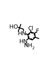 Cc1cc(NN)c(NCC(C)(C)O)c(Cl)c1F